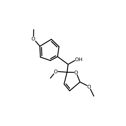 COc1ccc(C(O)C2(OC)C=CC(OC)O2)cc1